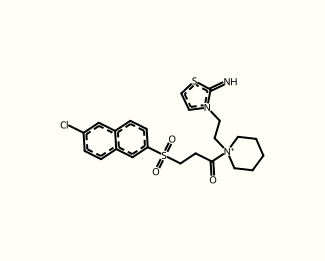 N=c1sccn1CC[N+]1(C(=O)CCS(=O)(=O)c2ccc3cc(Cl)ccc3c2)CCCCC1